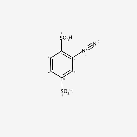 N#[N+]c1cc(S(=O)(=O)O)ccc1S(=O)(=O)O